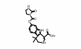 CC1(C)CNC=C(C(=O)O)c2[nH]c3cc(OC(=O)N4CCNC4=O)ccc3c21